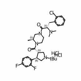 C[C@H]1CN(C(=O)[C@H](Cc2ccccc2Cl)N(C)C)CCN1C(=O)[C@@H]1CN(C(C)(C)C)C[C@H]1c1ccc(F)cc1F.Cl.Cl